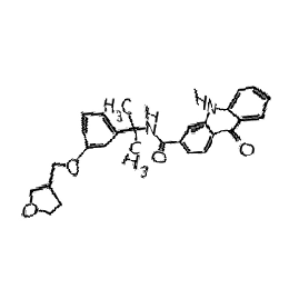 CC(C)(NC(=O)c1ccc2c(=O)c3ccccc3[nH]c2c1)c1cccc(OCC2CCOC2)c1